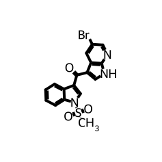 CS(=O)(=O)n1cc(C(=O)c2c[nH]c3ncc(Br)cc23)c2ccccc21